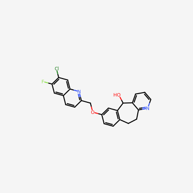 OC1c2cc(OCc3ccc4cc(F)c(Cl)cc4n3)ccc2CCc2ncccc21